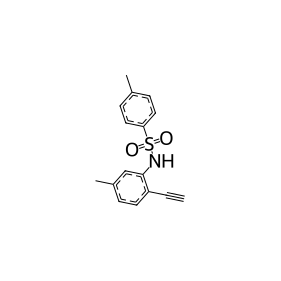 C#Cc1ccc(C)cc1NS(=O)(=O)c1ccc(C)cc1